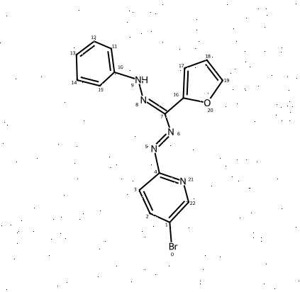 Brc1ccc(N=NC(=NNc2ccccc2)c2ccco2)nc1